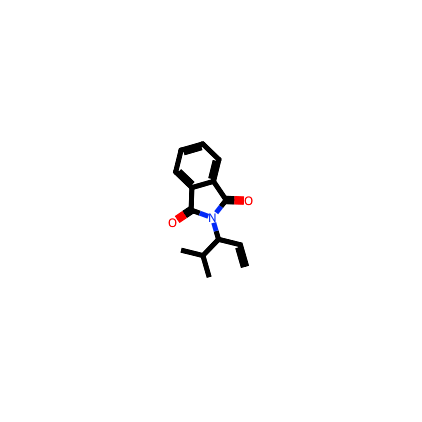 C=CC(C(C)C)N1C(=O)c2ccccc2C1=O